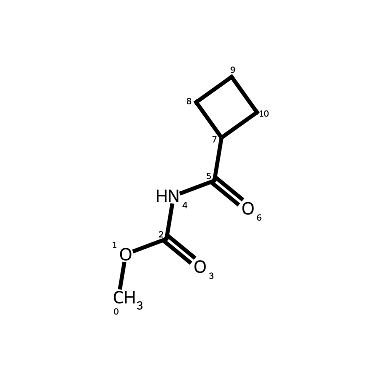 COC(=O)NC(=O)C1CCC1